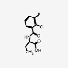 CCC(NC(=O)c1cccc(F)c1Cl)C(=O)O